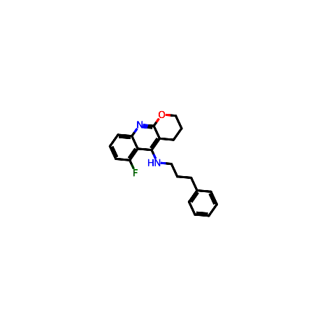 Fc1cccc2nc3c(c(NCCCc4ccccc4)c12)CCCO3